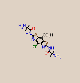 CC(C)(N)C(=O)Nc1nc2c(Cl)c3nc(NC(=O)C(C)(C)N)sc3c(C(=O)O)c2s1